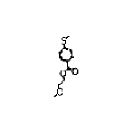 COCCOC(=O)c1ccc(SC)cc1